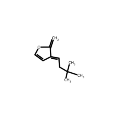 C=c1occ/c1=C\CC(C)(C)C